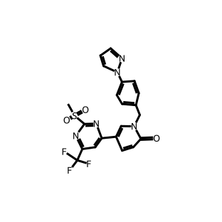 CS(=O)(=O)c1nc(-c2ccc(=O)n(Cc3ccc(-n4cccn4)cc3)c2)cc(C(F)(F)F)n1